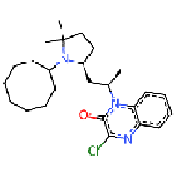 C[C@H](C[C@@H]1CCC(C)(C)N1C1CCCCCCC1)n1c(=O)c(Cl)nc2ccccc21